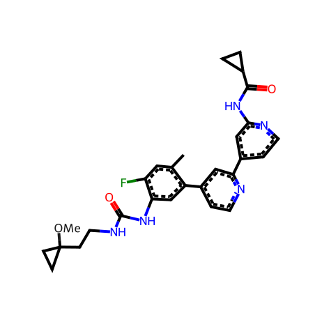 COC1(CCNC(=O)Nc2cc(-c3ccnc(-c4ccnc(NC(=O)C5CC5)c4)c3)c(C)cc2F)CC1